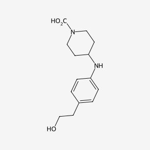 O=C(O)N1CCC(Nc2ccc(CCO)cc2)CC1